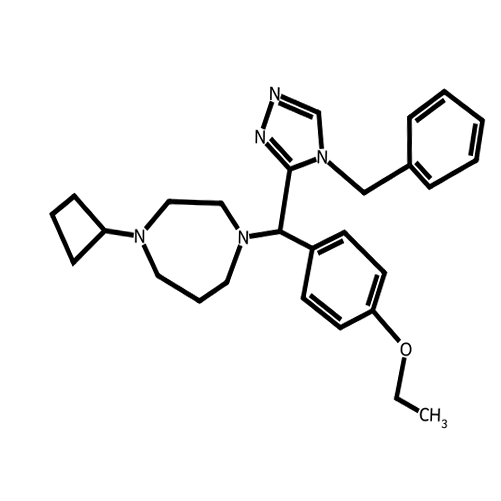 CCOc1ccc(C(c2nncn2Cc2ccccc2)N2CCCN(C3CCC3)CC2)cc1